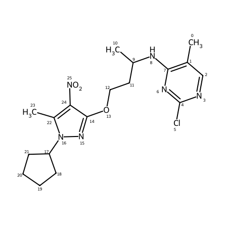 Cc1cnc(Cl)nc1NC(C)CCOc1nn(C2CCCC2)c(C)c1[N+](=O)[O-]